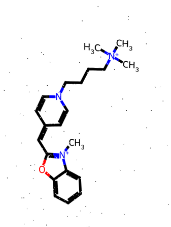 C[n+]1c(C=C2C=CN(CCCC[N+](C)(C)C)C=C2)oc2ccccc21